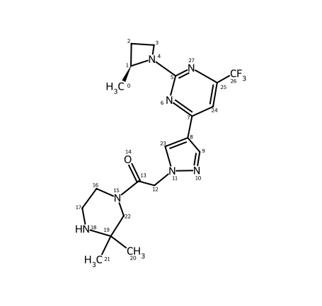 C[C@H]1CCN1c1nc(-c2cnn(CC(=O)N3CCNC(C)(C)C3)c2)cc(C(F)(F)F)n1